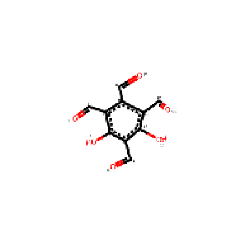 O=Cc1c(O)c(C=O)c(C=O)c(C=O)c1O